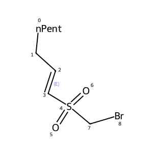 CCCCCC/C=C/S(=O)(=O)CBr